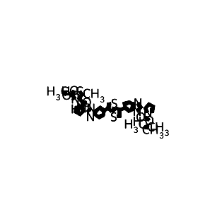 COC(=O)N[C@H](C(=O)N1CCC[C@H]1c1nc2ccc(-c3csc4c(-c5ccc6nc([C@@H]7CCCN7C(=O)OC(C)(C)C)[nH]c6c5)csc34)cc2[nH]1)C(C)C